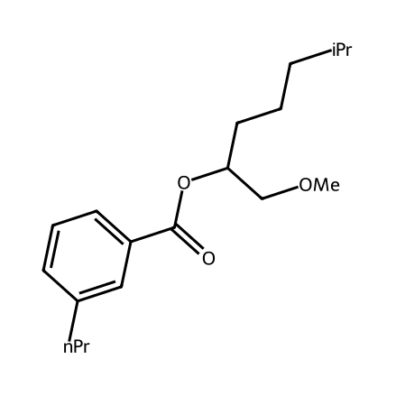 CCCc1cccc(C(=O)OC(CCCC(C)C)COC)c1